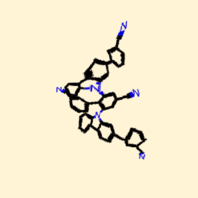 N#Cc1cccc(-c2ccc3c4ccccc4n(-c4cc(C#N)cc(-n5c6ccccc6c6ccc(-c7cccc(C#N)c7)cc65)c4-c4cccc(C#N)c4)c3c2)c1